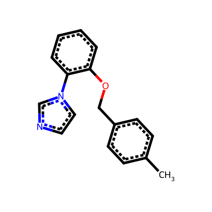 Cc1ccc(COc2ccccc2-n2ccnc2)cc1